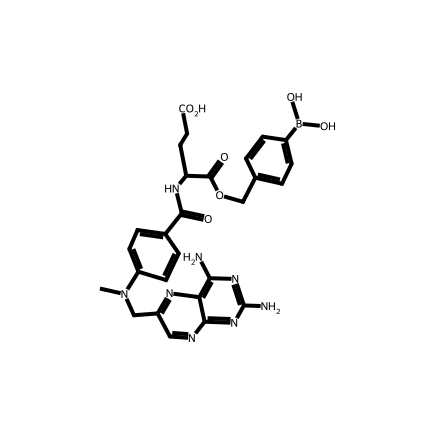 CN(Cc1cnc2nc(N)nc(N)c2n1)c1ccc(C(=O)NC(CCC(=O)O)C(=O)OCc2ccc(B(O)O)cc2)cc1